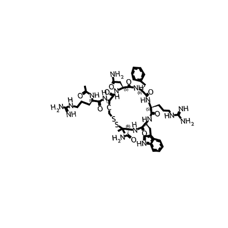 CC(=O)N[C@H](CCCNC(=N)N)C(=O)N[C@H]1CCSSC(C)(C)[C@@H](C(N)=O)NC(=O)[C@H](Cc2c[nH]c3ccccc23)NC(=O)[C@H](CCCNC(=N)N)NC(=O)[C@@H](Cc2ccccc2)NC(=O)[C@H](CC(N)=O)NC1=O